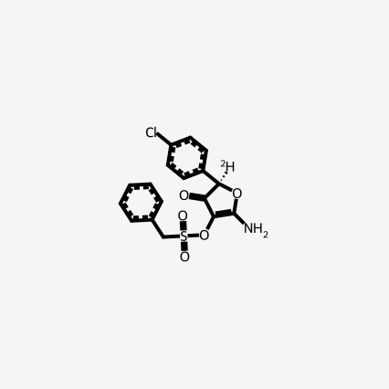 [2H][C@]1(c2ccc(Cl)cc2)OC(N)=C(OS(=O)(=O)Cc2ccccc2)C1=O